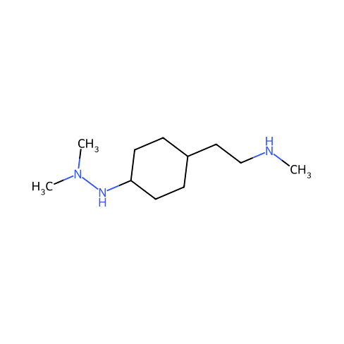 CNCCC1CCC(NN(C)C)CC1